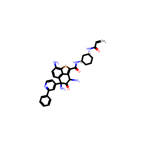 C=CC(=O)N[C@@H]1CCC[C@@H](NC(=O)c2sc3c(N)ccc4c3c2C(N)C(=O)C4(N)c2ccnc(-c3ccccc3)c2)C1